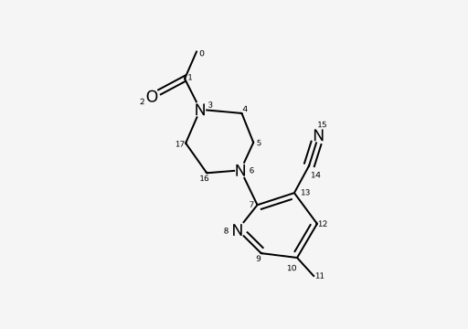 CC(=O)N1CCN(c2ncc(C)cc2C#N)CC1